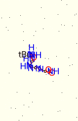 CC1CC(c2n[nH]c3ncc(-c4ccc(N5CCN(CCc6ccc(C7CCC(=O)NC7=O)cc6)CC5)cc4)cc23)=CC=C1CNC(=O)C1=CN(C(C)(C)C)NN1